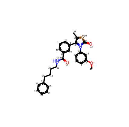 COc1cccc(-n2c(-c3cccc(C(=O)NCCCCc4ccccc4)c3)c(C)sc2=O)c1